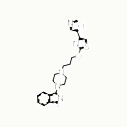 c1ccc2c(N3CCN(CCCOc4nc(-c5cnco5)cs4)CC3)nsc2c1